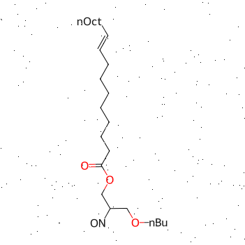 CCCCCCCC/C=C/CCCCCCCC(=O)OCC(COCCCC)N=O